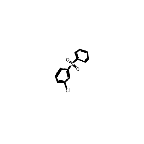 O=S(=O)(c1[c]cccc1)c1[c]ccc(Cl)c1